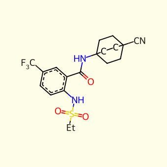 CCS(=O)(=O)Nc1ccc(C(F)(F)F)cc1C(=O)NC12CCC(C#N)(CC1)CC2